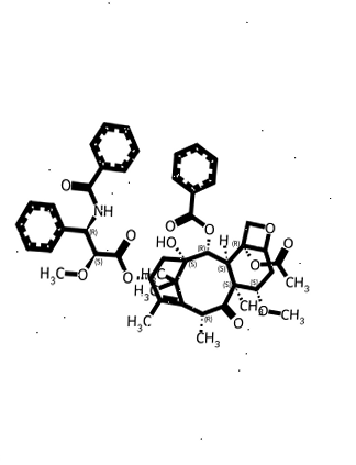 CO[C@H](C(=O)O[C@@H]1C[C@@]2(O)[C@H](OC(=O)c3ccccc3)[C@@H]3[C@](C)(C(=O)[C@H](C)C(=C1C)C2(C)C)[C@@H](OC)CC1OC[C@@]13OC(C)=O)[C@H](NC(=O)c1ccccc1)c1ccccc1